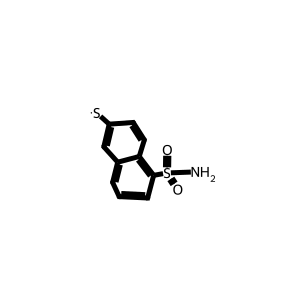 NS(=O)(=O)c1cccc2cc([S])ccc12